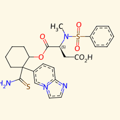 CN([C@@H](CC(=O)O)C(=O)OC1CCCCC1(C(N)=S)c1ccc2nccn2c1)S(=O)(=O)c1ccccc1